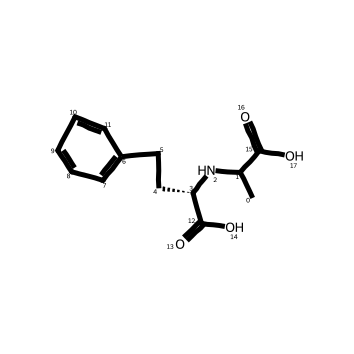 CC(N[C@@H](CCc1ccccc1)C(=O)O)C(=O)O